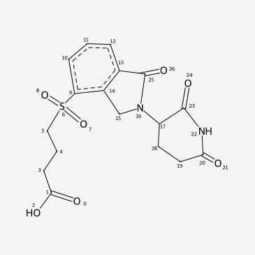 O=C(O)CCCS(=O)(=O)c1cccc2c1CN(C1CCC(=O)NC1=O)C2=O